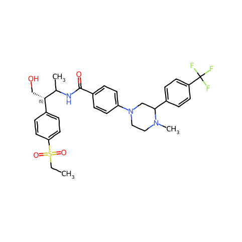 CCS(=O)(=O)c1ccc([C@H](CO)C(C)NC(=O)c2ccc(N3CCN(C)C(c4ccc(C(F)(F)F)cc4)C3)cc2)cc1